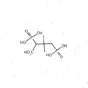 CC(C)(CP(=O)(O)O)C(C(=O)O)P(=O)(O)O